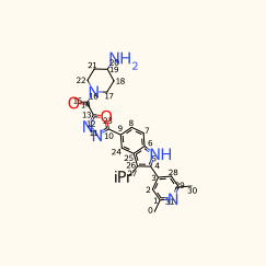 Cc1cc(-c2[nH]c3ccc(-c4nnc(C(=O)N5CCC(N)CC5)o4)cc3c2C(C)C)cc(C)n1